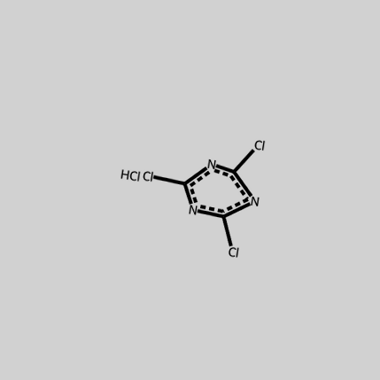 Cl.Clc1nc(Cl)nc(Cl)n1